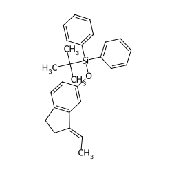 CC=C1CCc2ccc(O[Si](c3ccccc3)(c3ccccc3)C(C)(C)C)cc21